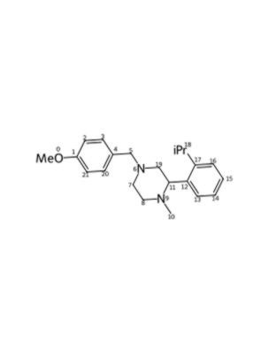 COc1ccc(CN2CCN(C)C(c3ccccc3C(C)C)C2)cc1